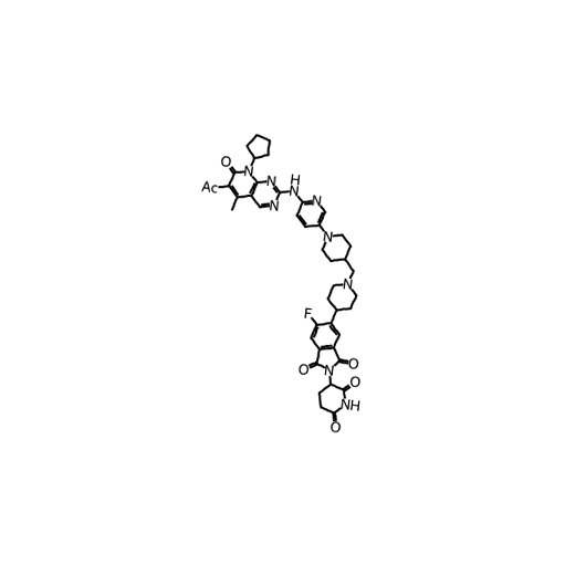 CC(=O)c1c(C)c2cnc(Nc3ccc(N4CCC(CN5CCC(c6cc7c(cc6F)C(=O)N(C6CCC(=O)NC6=O)C7=O)CC5)CC4)cn3)nc2n(C2CCCC2)c1=O